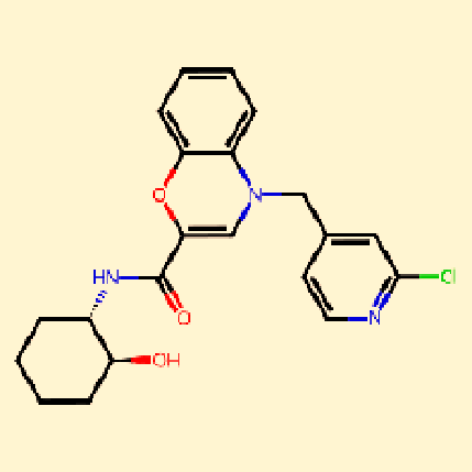 O=C(N[C@H]1CCCC[C@@H]1O)C1=CN(Cc2ccnc(Cl)c2)c2ccccc2O1